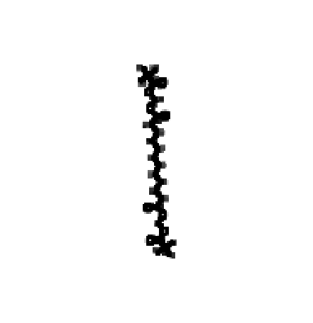 CC(C)(C)C(=O)OCOC(=O)CCCCCCCCCCC(=O)OCOC(=O)C(C)(C)C